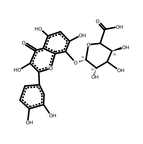 O=C(O)C1O[C@@H](Oc2c(O)cc(O)c3c(=O)c(O)c(-c4ccc(O)c(O)c4)oc23)[C@@H](O)C(O)[C@@H]1O